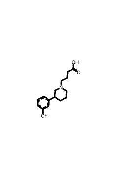 O=C(O)CCCN1CCCC(c2cccc(O)c2)C1